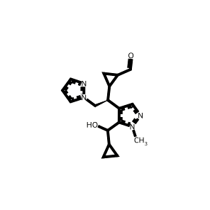 Cn1ncc([C@@H](Cn2cccn2)C2CC2C=O)c1C(O)C1CC1